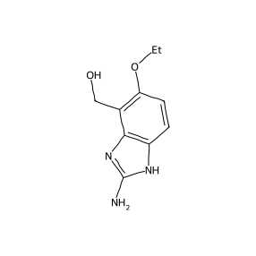 CCOc1ccc2[nH]c(N)nc2c1CO